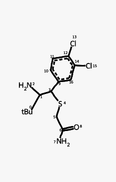 CC(C)(C)C(N)C(SCC(N)=O)c1ccc(Cl)c(Cl)c1